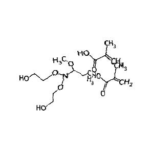 C=C(C)C(=O)O.C=C(C)C(=O)O.CCC(OC)N(OCCO)OCCO